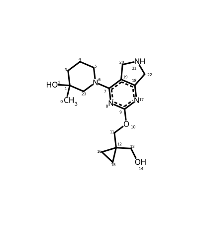 CC1(O)CCCN(c2nc(OCC3(CO)CC3)nc3c2CNC3)C1